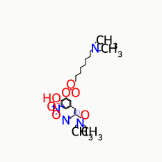 CCN(CC)CCCCCCCCOC(=O)Oc1cc(/C=C(\C#N)C(=O)N(CC)CC)cc([N+](=O)[O-])c1O